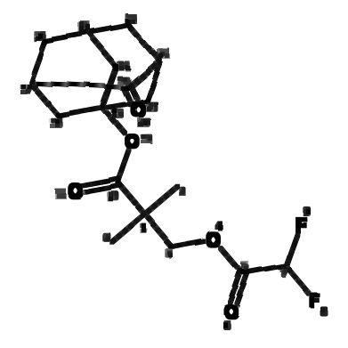 CC(C)(COC(=O)C(F)F)C(=O)OC12CC3CC(C1)C(=O)C(C3)C2